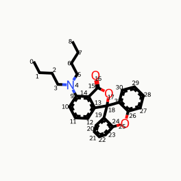 CCCCN(CCCC)c1cccc2c1C(=O)OC21c2ccccc2Oc2ccccc21